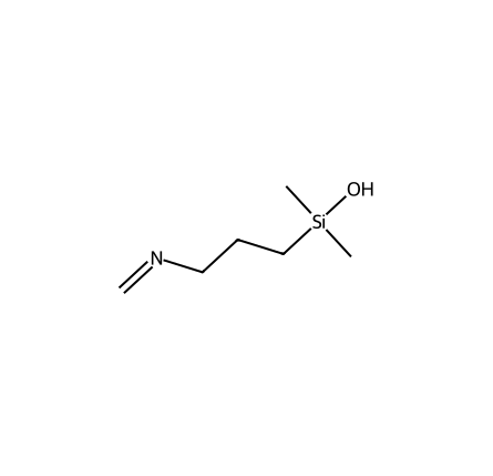 C=NCCC[Si](C)(C)O